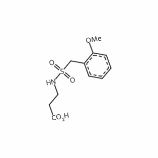 COc1ccccc1CS(=O)(=O)NCCC(=O)O